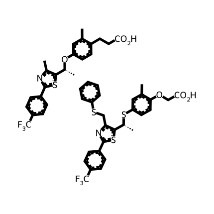 Cc1cc(O[C@H](C)c2sc(-c3ccc(C(F)(F)F)cc3)nc2C)ccc1CCC(=O)O.Cc1cc(S[C@H](C)c2sc(-c3ccc(C(F)(F)F)cc3)nc2CSc2ccccc2)ccc1OCC(=O)O